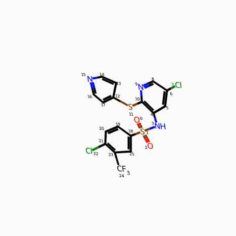 O=S(=O)(Nc1cc(Cl)cnc1Sc1ccncc1)c1ccc(Cl)c(C(F)(F)F)c1